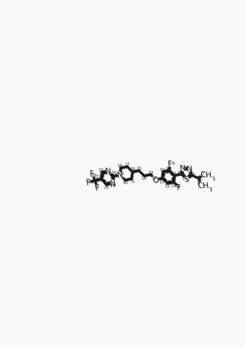 CC(C)c1nnc(-c2c(F)cc(OCCCC3CCN(c4ncc(C(F)(F)F)cn4)CC3)cc2F)s1